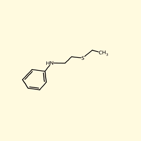 CCSCCNc1ccccc1